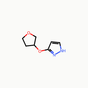 c1cc(OC2CCOC2)n[nH]1